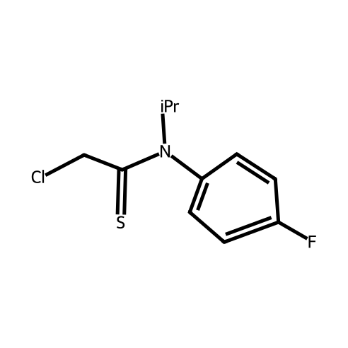 CC(C)N(C(=S)CCl)c1ccc(F)cc1